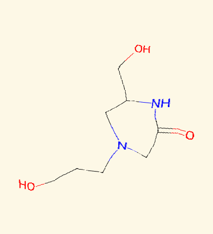 O=C1CN(CCCO)CC(CO)N1